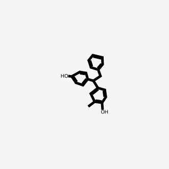 Cc1cc(C(Cc2ccccc2)c2ccc(O)cc2)ccc1O